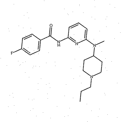 CCCN1CCC(N(C)c2cccc(NC(=O)c3ccc(F)cc3)n2)CC1